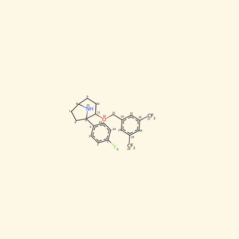 Fc1ccc(C23CCC(CCC2OCc2cc(C(F)(F)F)cc(C(F)(F)F)c2)N3)cc1